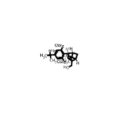 CCCCCCC(C)(C)c1cc(OC)c([C@@H]2C=C(CO)[C@H]3C[C@H]2C3(C)C)c(OC)c1